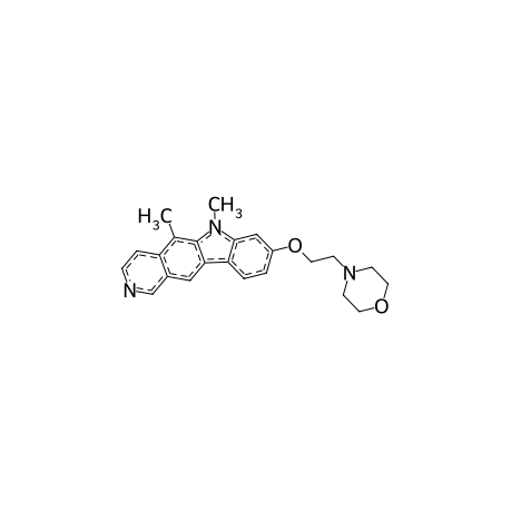 Cc1c2ccncc2cc2c3ccc(OCCN4CCOCC4)cc3n(C)c12